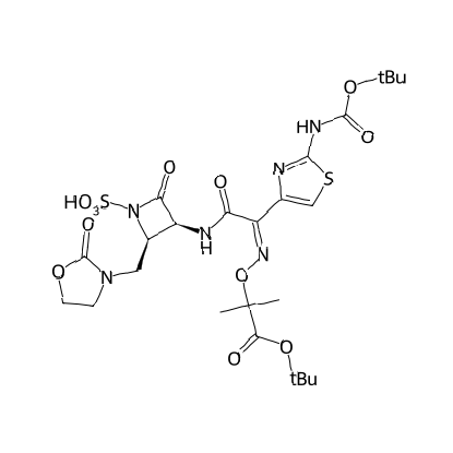 CC(C)(C)OC(=O)Nc1nc(C(=NOC(C)(C)C(=O)OC(C)(C)C)C(=O)N[C@@H]2C(=O)N(S(=O)(=O)O)[C@@H]2CN2CCOC2=O)cs1